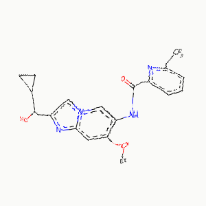 CCOc1cc2nc(C(O)C3CC3)cn2cc1NC(=O)c1cccc(C(F)(F)F)n1